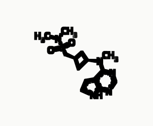 CN(C)S(=O)(=O)C[C@H]1C[C@@H](N(C)c2ncnc3[nH]ccc23)C1